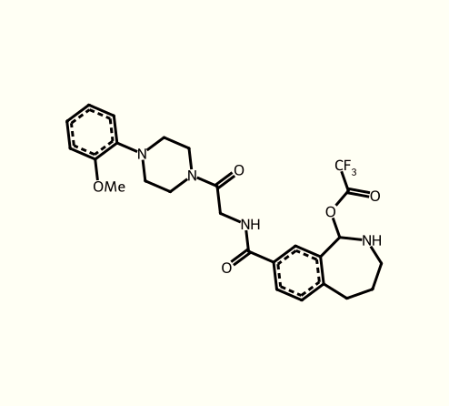 COc1ccccc1N1CCN(C(=O)CNC(=O)c2ccc3c(c2)C(OC(=O)C(F)(F)F)NCCC3)CC1